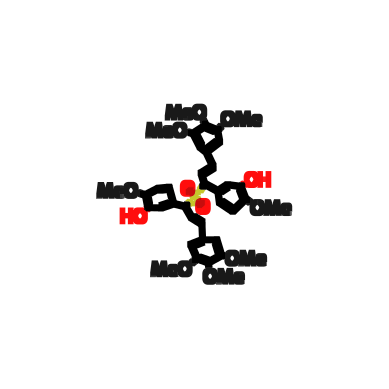 COc1ccc(C(C=Cc2cc(OC)c(OC)c(OC)c2)S(=O)(=O)C(C=Cc2cc(OC)c(OC)c(OC)c2)c2ccc(OC)c(O)c2)cc1O